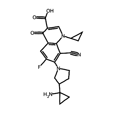 N#Cc1c(N2CCC(C3(N)CC3)C2)c(F)cc2c(=O)c(C(=O)O)cn(C3CC3)c12